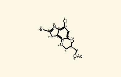 CC(=O)OC[C@H]1COc2c(cc(Cl)c3nc(Br)sc23)O1